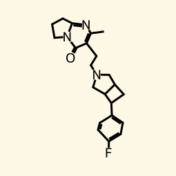 Cc1nc2n(c(=O)c1CCN1CC3CC(c4ccc(F)cc4)C3C1)CCC2